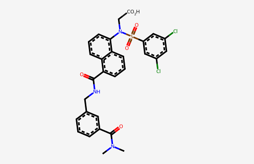 CN(C)C(=O)c1cccc(CNC(=O)c2cccc3c(N(CC(=O)O)S(=O)(=O)c4cc(Cl)cc(Cl)c4)cccc23)c1